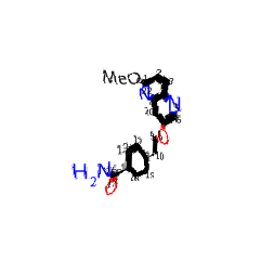 COc1ccc2ncc(OCC[C@H]3CC[C@H](C(N)=O)CC3)cc2n1